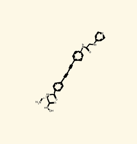 NC[C@H](NC(=O)c1ccc(C#CC#Cc2ccc(NC(=O)CNc3ccncc3)cc2)cc1)C(=O)NO